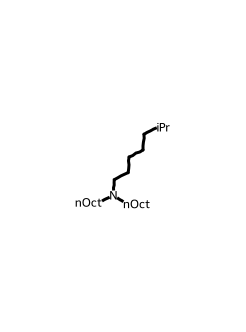 CCCCCCCCN(CCCCCCCC)CCCCCC(C)C